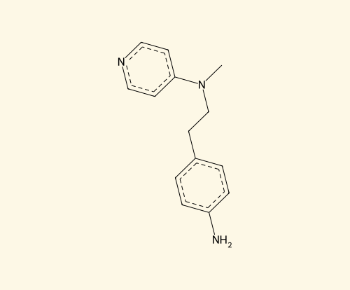 CN(CCc1ccc(N)cc1)c1ccncc1